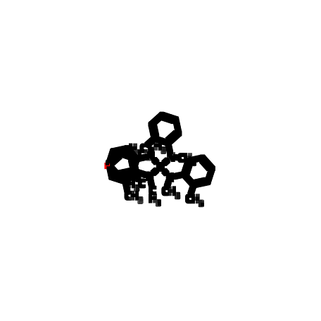 Cc1ccccc1N(C)[Si](N(C)c1ccccc1C)(N(C)c1ccccc1C)N(C)c1ccccc1C